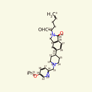 C=CCCC(C=O)N1Cc2cc(C3CCN(Cc4ccc(OC(C)C)cn4)CC3)ccc2C1=O